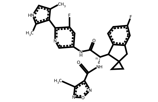 Cc1c[nH]c(C)c1-c1ncc(NC(=O)[C@@H](NC(=O)c2nonc2C)C2c3ccc(F)cc3CC23CC3)cc1F